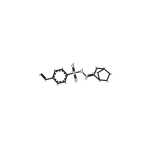 C=Cc1ccc(S(=O)(=O)ON=C2CC3CCC2C3)cc1